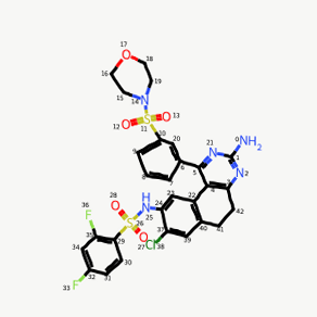 Nc1nc2c(c(-c3cccc(S(=O)(=O)N4CCOCC4)c3)n1)-c1cc(NS(=O)(=O)c3ccc(F)cc3F)c(Cl)cc1CC2